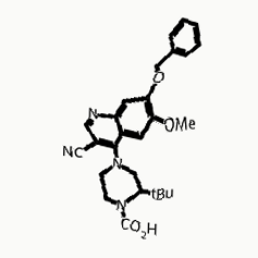 COc1cc2c(N3CCN(C(=O)O)C(C(C)(C)C)C3)c(C#N)cnc2cc1OCc1ccccc1